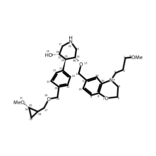 COCCCN1CCOc2ccc(CO[C@H]3CNC[C@@H](O)[C@@H]3c3ccc(COCC4C[C@@H]4OC)cc3)cc21